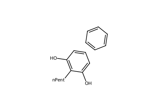 CCCCCc1c(O)cccc1O.c1ccccc1